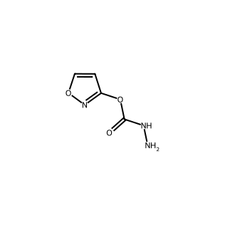 NNC(=O)Oc1ccon1